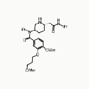 COCCCOc1cc(C(=O)N(C(C)C)C2CC[C@@H](CC(=O)NC(C)C)NC2)ccc1OC